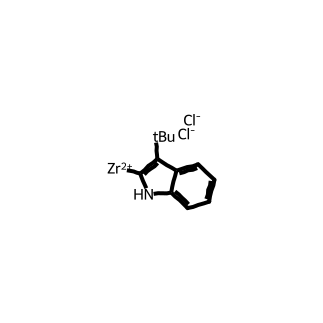 CC(C)(C)c1[c]([Zr+2])[nH]c2ccccc12.[Cl-].[Cl-]